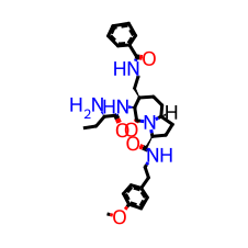 CC[C@H](N)C(=O)N[C@@H]1C(=O)N2[C@@H](CC[C@@H]1CCNC(=O)c1ccccc1)CC[C@H]2C(=O)NCCc1ccc(OC)cc1